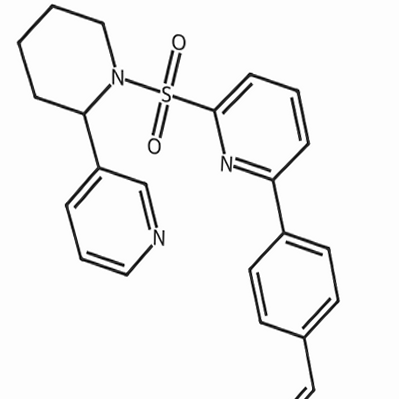 N=Cc1ccc(-c2cccc(S(=O)(=O)N3CCCCC3c3cccnc3)n2)cc1